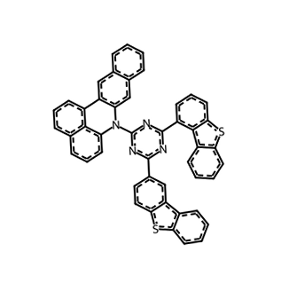 c1ccc2cc3c(cc2c1)-c1cccc2cccc(c12)N3c1nc(-c2ccc3sc4ccccc4c3c2)nc(-c2cccc3sc4ccccc4c23)n1